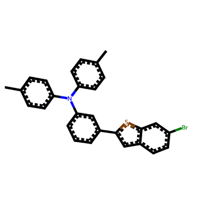 Cc1ccc(N(c2ccc(C)cc2)c2cccc(-c3cc4ccc(Br)cc4s3)c2)cc1